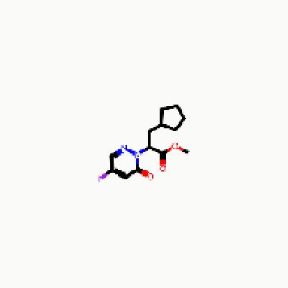 COC(=O)C(CC1CCCC1)n1ncc(I)cc1=O